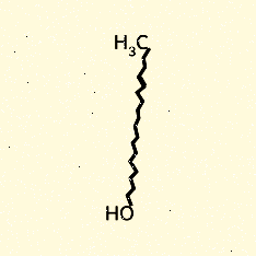 CCCCC=CCCCCCCCCCCCCCCO